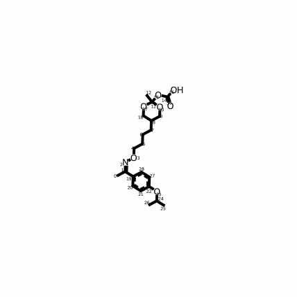 CC(=NOCCCCC1COC(C)(OC(=O)O)OC1)c1ccc(OC(C)C)cc1